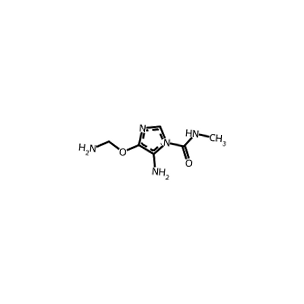 CNC(=O)n1cnc(OCN)c1N